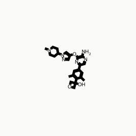 Cc1cc(-c2cnc(N)c(Oc3cnn(C4CCN(C)CC4)c3)n2)cc(C)c1C1(O)COC1